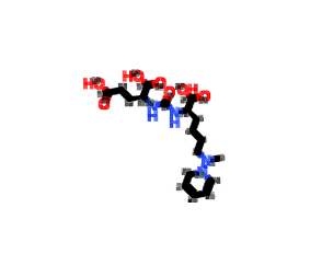 CN(CCCC[C@@H](NC(=O)N[C@@H](CCC(=O)O)C(=O)O)C(=O)O)N1C=CC=CC1